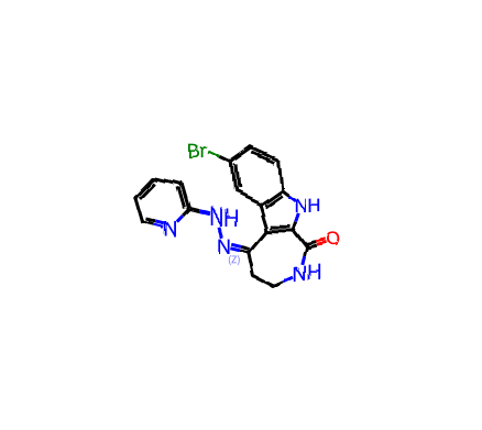 O=C1NCC/C(=N/Nc2ccccn2)c2c1[nH]c1ccc(Br)cc21